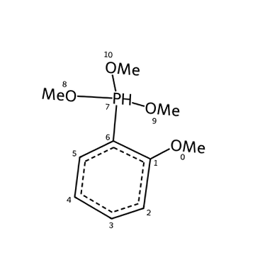 COc1ccccc1[PH](OC)(OC)OC